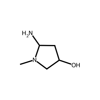 CN1CC(O)CC1N